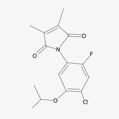 CC1=C(C)C(=O)N(c2cc(OC(C)C)c(Cl)cc2F)C1=O